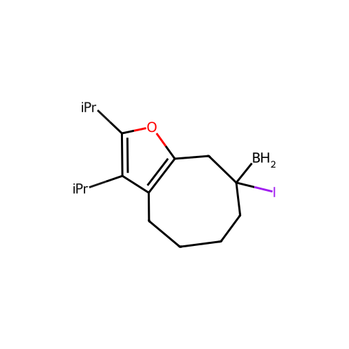 BC1(I)CCCCc2c(oc(C(C)C)c2C(C)C)C1